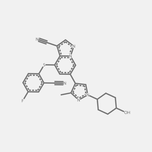 Cc1nn(C2CCC(O)CC2)cc1-c1cc(Sc2ccc(F)cc2C#N)c2c(C#N)cnn2c1